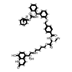 CC(C)C[C@@H](NC(=O)c1ccc(COc2cccc([C@@H](NC(=O)O[C@H]3CN4CCC3CC4)c3ccccc3)c2)cc1)C(=O)OCCCCNC[C@H](O)c1ccc(O)c2[nH]c(=O)ccc12